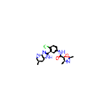 Cc1cnc2nc(-c3cc(NC(=O)c4oc(C)nc4C)ccc3Cl)[nH]c2c1